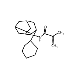 C=C(C)C(=O)NC1(C2CCCCC2)C2CC3CC(C2)CC1C3